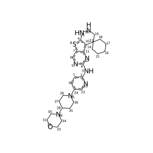 c1cc(Nc2ncc3sc4c(c3n2)C2(CCCCC2)CNN4)ncc1N1CCC(N2CCOCC2)CC1